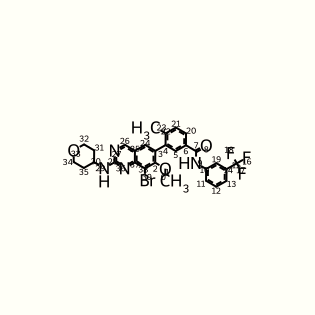 COc1c(-c2cc(C(=O)Nc3cccc(C(F)(F)F)c3)ccc2C)cc2cnc(NC3CCOCC3)nc2c1Br